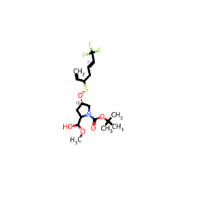 C=CC(C/C=C/C(F)(F)F)SO[C@H]1CC(C(O)OC)N(C(=O)OC(C)(C)C)C1